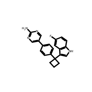 Nc1ncc(-c2ccc(C3(c4c[nH]c5ccc(F)cc45)CCC3)cc2)cn1